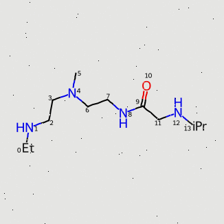 CCNCCN(C)CCNC(=O)CNC(C)C